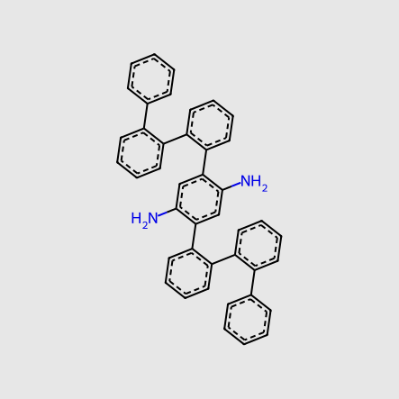 Nc1cc(-c2ccccc2-c2ccccc2-c2ccccc2)c(N)cc1-c1ccccc1-c1ccccc1-c1ccccc1